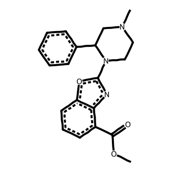 COC(=O)c1cccc2oc(N3CCN(C)CC3c3ccccc3)nc12